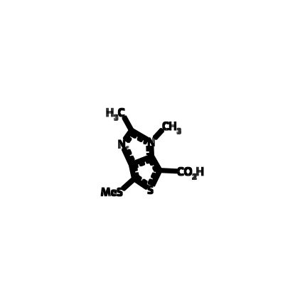 CSc1sc(C(=O)O)c2c1nc(C)n2C